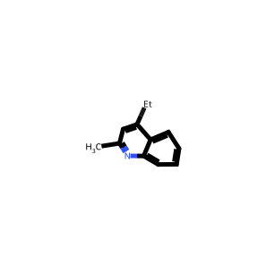 [CH2]Cc1cc(C)nc2ccccc12